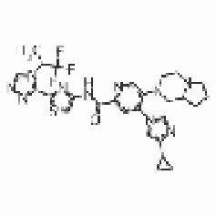 C[C@H](n1cnnc1-c1nc(NC(=O)c2cc(-n3cnc(C4CC4)c3)c(N3CCN4CCCC4C3)cn2)cs1)C(F)(F)F